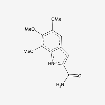 COc1cc2cc(C(N)=O)[nH]c2c(OC)c1OC